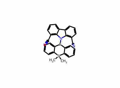 C[Si]1(C)c2ccccc2B(n2c3c(C#N)cccc3c3cccc(C#N)c32)c2ccccc21